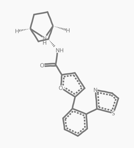 O=C(N[C@@H]1C[C@H]2CC[C@@H]1N2)c1ccc(-c2ccccc2-c2nccs2)o1